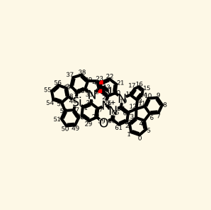 c1ccc2c(c1)-c1ccccc1C21c2ccccc2N2c3ccccc3[N+]34c5c(ccc6c5-n5c7c(cccc7c7ccc[n+]3c75)[Si]63c5ccccc5-c5ccccc53)Oc3ccc1c2[n+]34